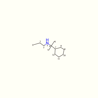 CC[CH]NC(C)(C)C1CCCCC1